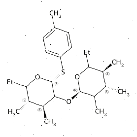 CCC1O[C@H](OC2[C@@H](Sc3ccc(C)cc3)OC(CC)[C@@H](C)[C@@H]2C)C(C)[C@@H](C)[C@@H]1C